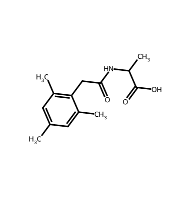 Cc1cc(C)c(CC(=O)NC(C)C(=O)O)c(C)c1